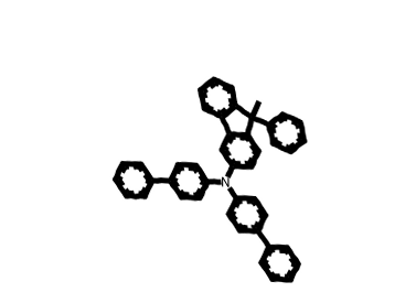 CC1(c2ccccc2)c2ccccc2-c2cc(N(c3ccc(-c4ccccc4)cc3)c3ccc(-c4ccccc4)cc3)ccc21